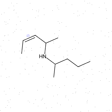 C/C=C\C(C)NC(C)CCC